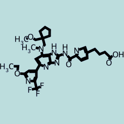 CCOc1cc(-c2cc(N(C)CC3(COC)CCCC3)c3[nH]c(NC(=O)c4ccc(CCCC(=O)O)cn4)nc3n2)cc(C(F)(F)F)n1